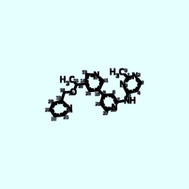 Cc1nccc(Nc2cc(-c3cncc(C(C)OCc4ccccn4)c3)ccn2)n1